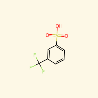 O=S(=O)(O)c1cccc(C(F)(F)F)c1